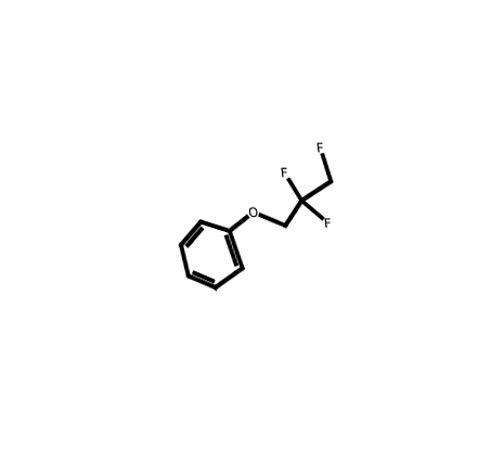 FCC(F)(F)COc1c[c]ccc1